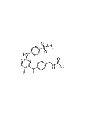 CCC(=O)NCc1ccc(Nc2nc(Nc3ccc(S(N)(=O)=O)cc3)ncc2F)cc1